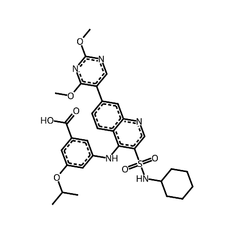 COc1ncc(-c2ccc3c(Nc4cc(OC(C)C)cc(C(=O)O)c4)c(S(=O)(=O)NC4CCCCC4)cnc3c2)c(OC)n1